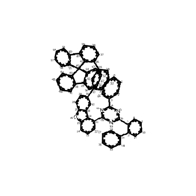 c1ccc(-c2nc(-c3ccccc3-c3ccccc3)nc(-c3cccc4oc5ccc(-c6cccc(-c7cccc8c7C7(c9ccccc9-c9ccccc97)c7ccccc7-8)c6)cc5c34)n2)cc1